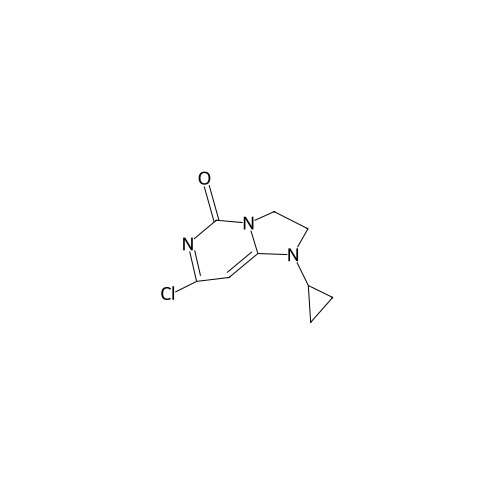 O=c1nc(Cl)cc2n1CCN2C1CC1